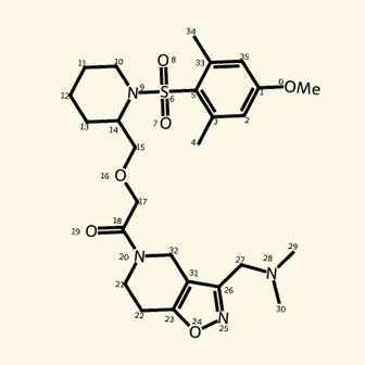 COc1cc(C)c(S(=O)(=O)N2CCCCC2COCC(=O)N2CCc3onc(CN(C)C)c3C2)c(C)c1